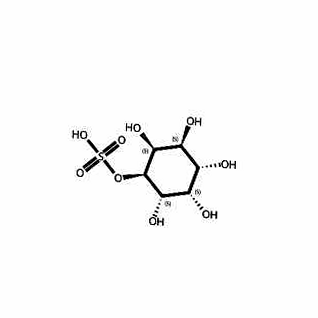 O=S(=O)(O)O[C@H]1[C@@H](O)[C@@H](O)[C@H](O)[C@H](O)[C@@H]1O